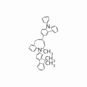 CC1/C=C\C(c2ccc3c(c2)c2ccccc2n3-c2ccccc2)=C/Cc2ccccc2N1c1ccc2c(c1)C(C)(C)c1ccccc1-2